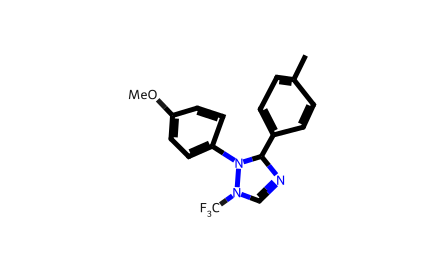 COc1ccc(N2C(c3ccc(C)cc3)N=CN2C(F)(F)F)cc1